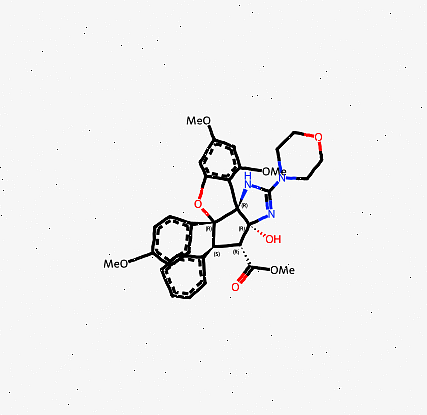 COC(=O)[C@@H]1[C@@H](c2ccccc2)[C@]2(c3ccc(OC)cc3)Oc3cc(OC)cc(OC)c3[C@@]23NC(N2CCOCC2)=N[C@@]13O